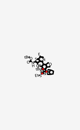 CCSc1nc(C2C3CCC2CN(C(=O)OC(C)(C)C)C3)c2c3c(c(-c4ncc(F)c5sc(NC(=O)OC(C)(C)C)c(C#N)c45)c(F)c2n1)COC3